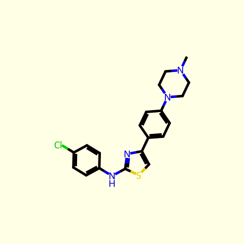 CN1CCN(c2ccc(-c3csc(Nc4ccc(Cl)cc4)n3)cc2)CC1